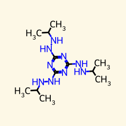 CC(C)NNc1nc(NNC(C)C)nc(NNC(C)C)n1